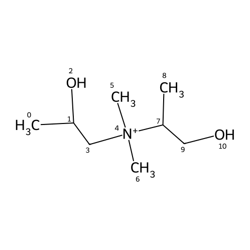 CC(O)C[N+](C)(C)C(C)CO